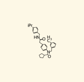 Cc1cccc(CN(C(=O)C2CCCC2)c2ccc(CC(=O)NCc3ccc(C(C)C)cc3)cc2)c1